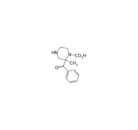 CC1(C(=O)c2ccccc2)CNCCN1C(=O)O